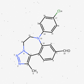 Cc1nnn2c1-c1ccc(C=O)cc1N(c1ccc(Cl)cc1)CC2